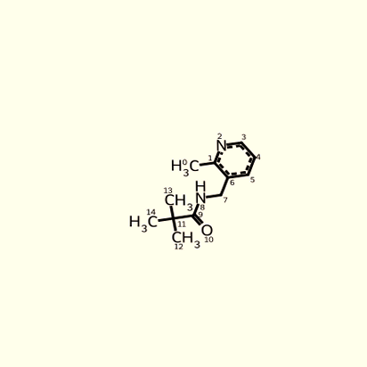 Cc1ncccc1CNC(=O)C(C)(C)C